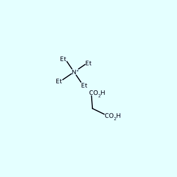 CC[N+](CC)(CC)CC.O=C(O)CC(=O)O